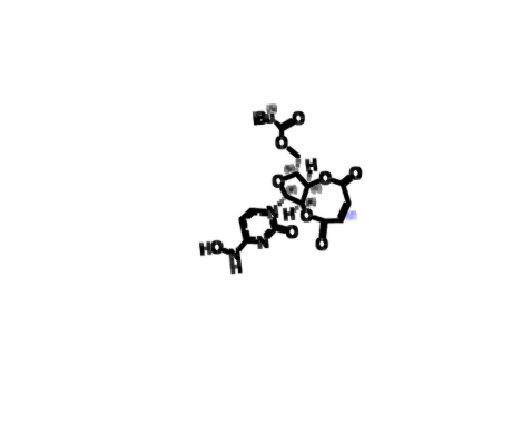 CC[C@H](C)C(=O)OC[C@H]1O[C@@H](n2ccc(NO)nc2=O)[C@@H]2OC(=O)/C=C\C(=O)O[C@@H]21